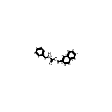 O=C(NCc1ccccc1)OCc1[c]cc2ccccc2c1